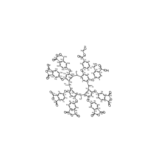 CC1c2cc(c(Oc3ccc(C(=O)O)c(C=O)c3)cc2Oc2cccc(C(=O)OC=O)c2)C(C)c2cc(c(Oc3ccc4c(c3)C(=O)OC4=O)cc2Oc2ccc3c(c2)C(=O)OC3=O)C(C)c2cc(c(Oc3ccc4c(c3)C(=O)OC4=O)cc2Oc2ccc3c(c2)C(=O)OC3=O)C(C)c2cc1c(Oc1ccc3c(c1)COOC3=O)cc2Oc1ccc2c(c1)C(=O)OC2=O